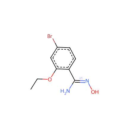 CCOc1cc(Br)ccc1/C(N)=N/O